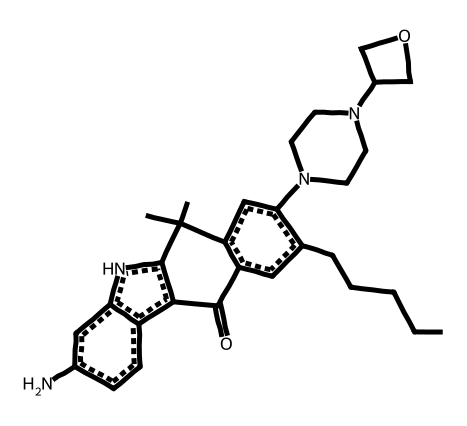 CCCCCc1cc2c(cc1N1CCN(C3COC3)CC1)C(C)(C)c1[nH]c3cc(N)ccc3c1C2=O